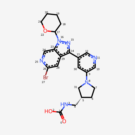 O=C(O)NC[C@H]1CCN(c2cncc(-c3nn(C4CCCCO4)c4cnc(Br)cc34)c2)C1